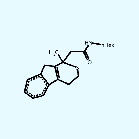 CCCCCCNC(=O)CC1(C)SCCC2=C1Cc1ccccc12